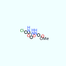 COC(=O)c1ccc(NC(=O)NC(c2ccccc2)c2c[nH]c3cc(Cl)ccc3c2=O)cc1